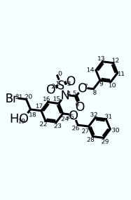 CS(=O)(=O)N(C(=O)OCc1ccccc1)c1cc(C(O)CBr)ccc1OCc1ccccc1